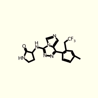 Cc1ccc(-c2nnc(NC3CCNC3=O)n3cncc23)c(CC(F)(F)F)c1